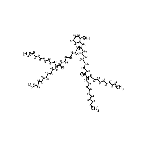 CCCCCCCCCCN(CCCCCCCCCC)C(=O)CCCCCCCN(CCCCCCCC(=O)N(CCCCCCCCCC)CCCCCCCCCC)C[C@H]1CCCC[C@H]1O